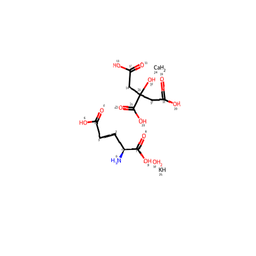 N[C@@H](CCC(=O)O)C(=O)O.O.O=C(O)CC(O)(CC(=O)O)C(=O)O.[CaH2].[KH]